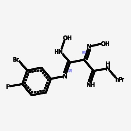 CCCNC(=N)C(=N\O)/C(=N/c1ccc(F)c(Br)c1)NO